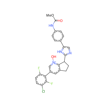 COC(=O)Nc1ccc(-c2cnc(C3CCc4cc(-c5c(F)ccc(Cl)c5F)c[n+](O)c43)[nH]2)cc1